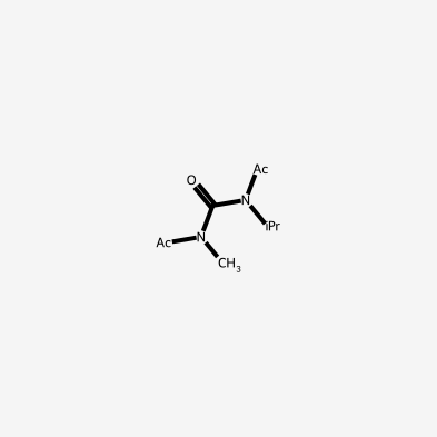 CC(=O)N(C)C(=O)N(C(C)=O)C(C)C